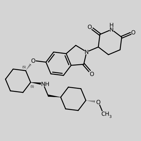 CO[C@H]1CC[C@H](CN[C@H]2CCCC[C@@H]2Oc2ccc3c(c2)CN(C2CCC(=O)NC2=O)C3=O)CC1